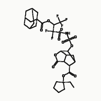 CCC1(OC(=O)C2C3CC4C(OC(=O)C42)C3OS(=O)(=O)NS(=O)(=O)C(F)(F)C(OC(=O)C23CC4CC(CC(C4)C2)C3)C(F)(F)F)CCCC1